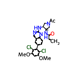 C=CC(=O)N[C@@H]1CN(C(C)=O)CC1Nc1ncc2cc(-c3c(Cl)c(OC)cc(OC)c3Cl)ccc2n1